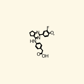 COc1ccc(-c2nc3c(c(Nc4ccc(CC(=O)O)cc4)n2)CCC3)cc1F